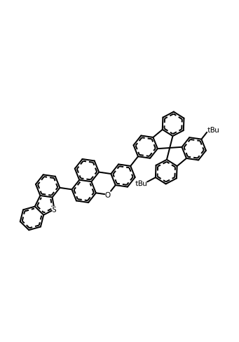 CC(C)(C)c1ccc2c(c1)C1(c3ccccc3-c3ccc(-c4ccc5c(c4)-c4cccc6c(-c7cccc8c7sc7ccccc78)ccc(c46)O5)cc31)c1cc(C(C)(C)C)ccc1-2